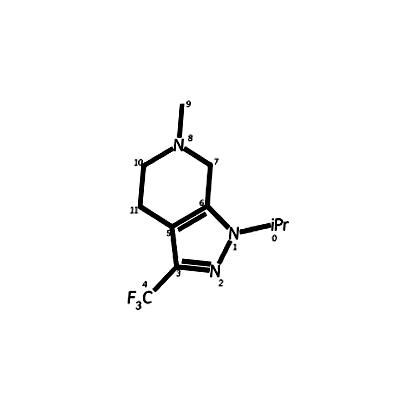 CC(C)n1nc(C(F)(F)F)c2c1CN(C)CC2